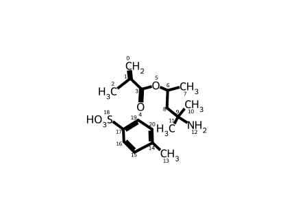 C=C(C)C(=O)OC(C)CC(C)(C)N.Cc1ccc(S(=O)(=O)O)cc1